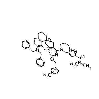 CN1CC[C@@H](COc2nc3c(c(N4CCCn5nc(C(=O)N(C)C)cc5C4)n2)COC2(CCCc4ccc(N(Cc5ccccc5)Cc5ccccc5)c(C#N)c42)C3)C1